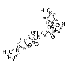 CCN(CC)c1ccc2cc(C(=O)NCCCC(=O)N(CC#N)S(=O)(=O)c3ccc(C)cc3)c(=O)oc2c1